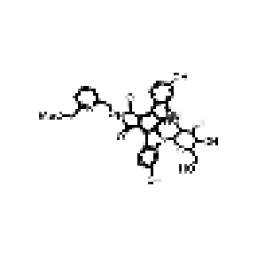 COCc1cccc(CON2C(=O)c3c(c4c5ccc(O)cc5n(C5OC(CO)C(O)C(O)C5O)c4c4[nH]c5cc(O)ccc5c34)C2=O)n1